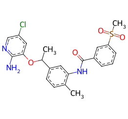 Cc1ccc(C(C)Oc2cc(Cl)cnc2N)cc1NC(=O)c1cccc(S(C)(=O)=O)c1